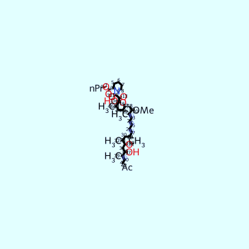 CCCOC(=O)[C@@H]1CCCCN1C(=O)C(=O)[C@]1(O)O[C@H](C[C@H](OC)/C(C)=C/C=C/C=C/[C@@H](C)C[C@@H](C)C(=O)C[C@H](O)/C(C)=C/CC(C)=O)CC[C@H]1C